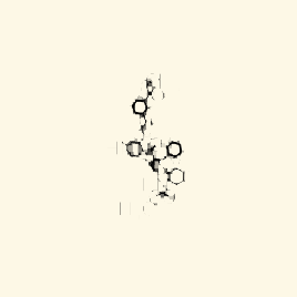 CCOC(=O)N[C@H]1CCCC[C@@H]1n1cnc(C(=O)N2CCNC[C@H]2CCOc2cccc(C(=O)OC)c2)c1-c1ccccc1